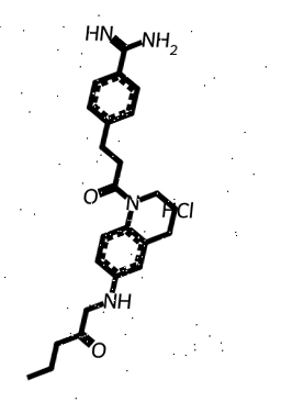 CCCC(=O)CNc1ccc2c(c1)CCCN2C(=O)CCc1ccc(C(=N)N)cc1.Cl